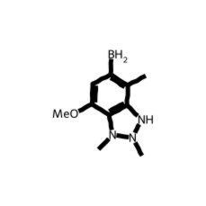 Bc1cc(OC)c2c(c1C)NN(C)N2C